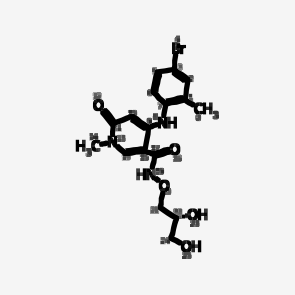 Cc1cc(Br)ccc1Nc1cc(=O)n(C)cc1C(=O)NOC[C@H](O)CO